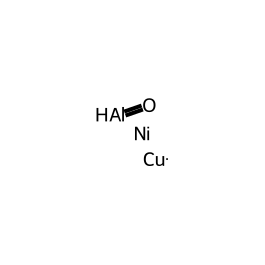 [Cu].[Ni].[O]=[AlH]